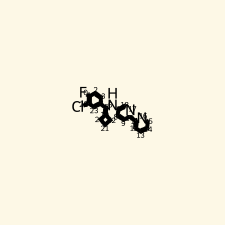 Fc1ccc(C(Nc2ccc(-c3ccccn3)nc2)=C2CCC2)cc1Cl